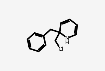 ClCC1(Cc2ccccc2)C=CC=CN1